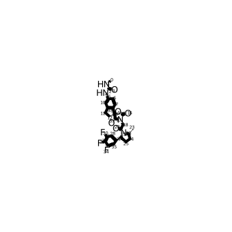 CNC(=O)Nc1ccc2c(c1)CC[C@@]21OC(=O)N(CC(=O)N2[C@H](C)CC[C@H]2c2cc(F)c(F)c(F)c2)C1=O